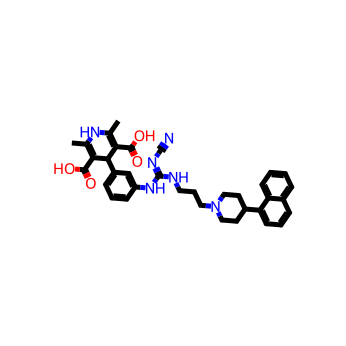 CC1=C(C(=O)O)C(c2cccc(N/C(=N/C#N)NCCCN3CCC(c4cccc5ccccc45)CC3)c2)C(C(=O)O)=C(C)N1